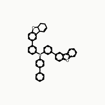 C1=CC2c3cc(-c4cccc(N(c5ccc(-c6ccccc6)cc5)c5cccc(-c6ccc7oc8ccccc8c7c6)c5)c4)ccc3OC2CC1